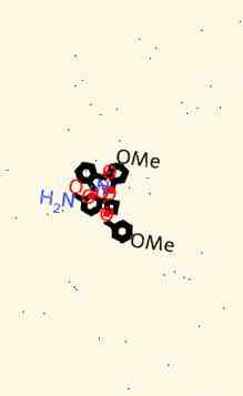 COc1ccc(COC2=CC=C(C(N)=O)CC2(OCc2ccc(OC)cc2)C2(ON3C(=O)c4ccccc4C3=O)CCC2)cc1